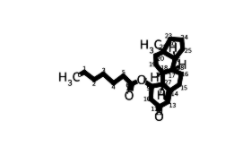 CCCCCCC(=O)OC1CC(=O)C=C2CC[C@@H]3[C@H](CC[C@]4(C)CCC[C@@H]34)[C@H]21